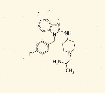 CC(N)CN1CCC(Nc2nc3ccccc3n2Cc2ccc(F)cc2)CC1